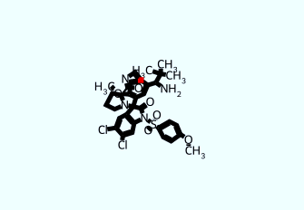 COc1ccc(S(=O)(=O)N2C(=O)C(c3cc(C(N)C(C)(C)C)ccc3OC)(N3CCC[C@H]3c3ncco3)c3cc(Cl)c(Cl)cc32)cc1